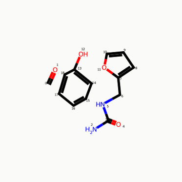 C=O.NC(=O)NCc1ccco1.Oc1ccccc1